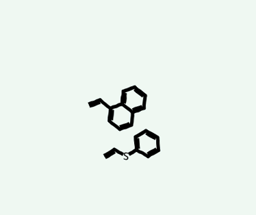 C=CSc1ccccc1.C=Cc1cccc2ccccc12